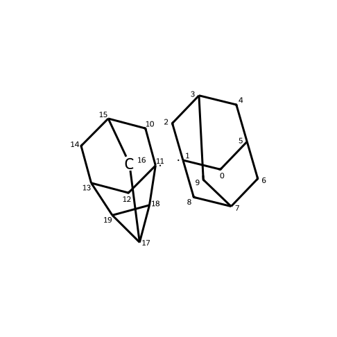 C1[C]2CC3CC1CC(C2)C3.C1[C]2CC3CC1CC1C2C31